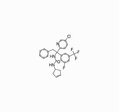 O=C(NC1CC=CC1)NC(Cc1ccccc1)(c1cc(F)cc(C(F)(F)F)c1)c1ccc(Cl)cn1